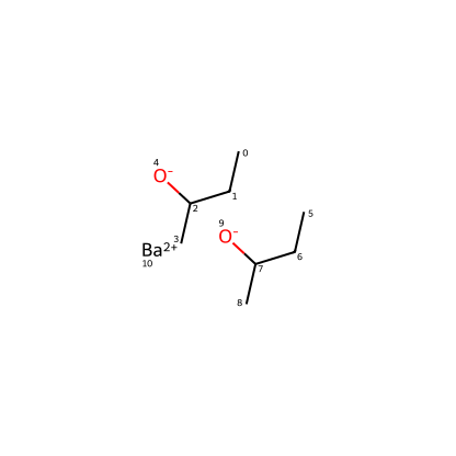 CCC(C)[O-].CCC(C)[O-].[Ba+2]